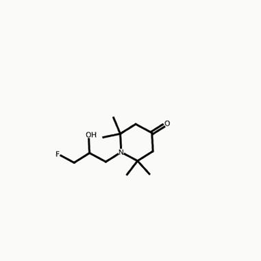 CC1(C)CC(=O)CC(C)(C)N1CC(O)CF